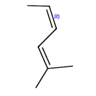 C/C=C\C=C(C)C